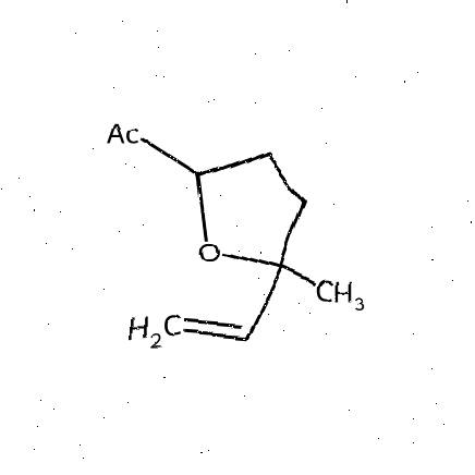 C=CC1(C)CCC(C(C)=O)O1